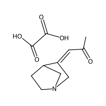 CC(=O)C=C1CN2CCC1C2.O=C(O)C(=O)O